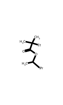 CCC(C)(C)C(=O)OC(C)C(C)C